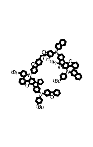 CC(C)C1(C(C)C)c2cc(N(c3ccc(C(C)(C)Cc4ccc5c(c4)oc4cc(N(c6ccc(C(C)(C)C)cc6)c6cc7c(c8oc9ccccc9c68)-c6ccc(N(c8ccc(C(C)(C)C)cc8)c8ccc9c(c8)oc8ccccc89)cc6C76CCCC6)ccc45)cc3)c3ccc4ccccc4c3)ccc2-c2c1cc(N(c1ccc(C(C)(C)C)cc1)c1ccc3ccccc3c1)c1c2oc2ccccc21